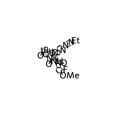 CCN1CCN(c2ccc3oc([C@]4(CN5Cc6ccc(OC)c(F)c6C5=O)NC(=O)N(COC(=O)C(C)(C)C)C4=O)cc3n2)CC1